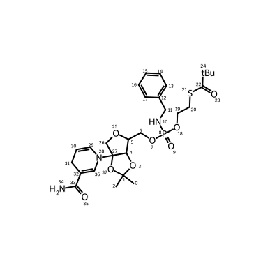 CC1(C)OC2C(COP(=O)(NCc3ccccc3)OCCSC(=O)C(C)(C)C)OCC2(N2C=CCC(C(N)=O)=C2)O1